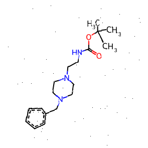 CC(C)(C)OC(=O)NCCN1CCN(Cc2ccccc2)CC1